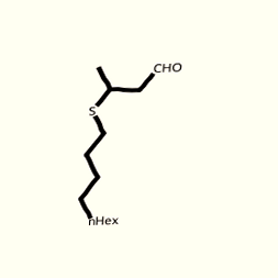 CCCCCCCCCCSC(C)CC=O